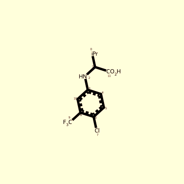 CC(C)C(Nc1ccc(Cl)c(C(F)(F)F)c1)C(=O)O